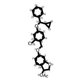 CC(=O)OC1COc2cc(OCc3ccc(OC(c4ccccc4)C4CC4)cc3Cl)ccc21